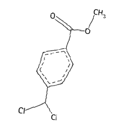 COC(=O)c1ccc(C(Cl)Cl)cc1